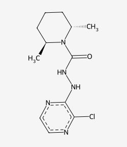 C[C@H]1CCC[C@H](C)N1C(=O)NNc1nccnc1Cl